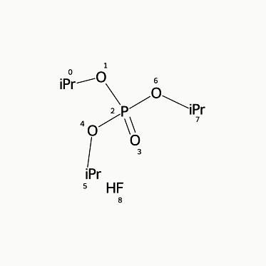 CC(C)OP(=O)(OC(C)C)OC(C)C.F